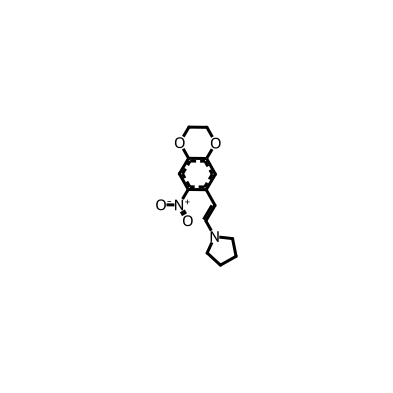 O=[N+]([O-])c1cc2c(cc1/C=C/N1CCCC1)OCCO2